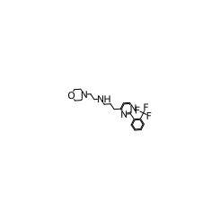 FC(F)(F)c1ccccc1-c1nccc(CCCNCCN2CCOCC2)n1